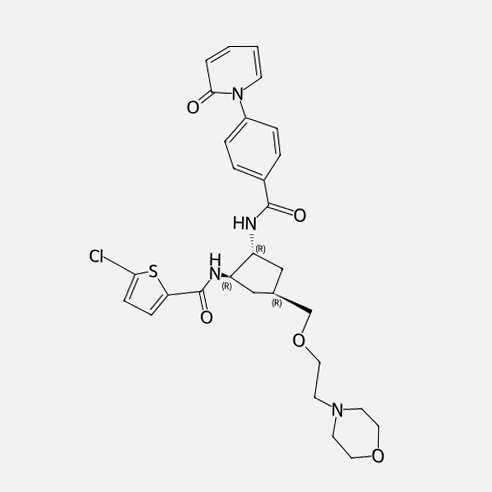 O=C(N[C@@H]1C[C@@H](COCCN2CCOCC2)C[C@H]1NC(=O)c1ccc(Cl)s1)c1ccc(-n2ccccc2=O)cc1